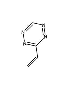 C=Cc1nncnn1